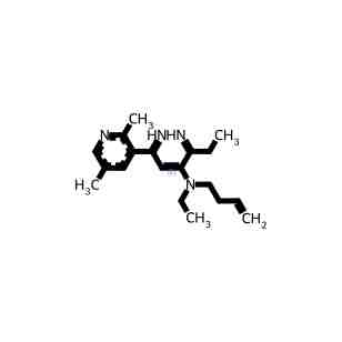 C=CCCN(CC)/C(=C/C(=N)c1cc(C)cnc1C)C(=N)CC